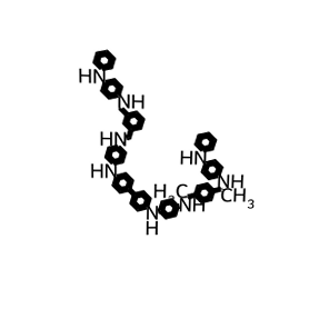 CC(Nc1ccc(Nc2ccccc2)cc1)c1ccc(C(C)Nc2ccc(Nc3ccc(-c4ccc(Nc5ccc(NCc6cccc(CNc7ccc(Nc8ccccc8)cc7)c6)cc5)cc4)cc3)cc2)cc1